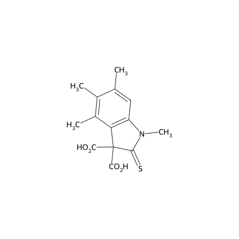 Cc1cc2c(c(C)c1C)C(C(=O)O)(C(=O)O)C(=S)N2C